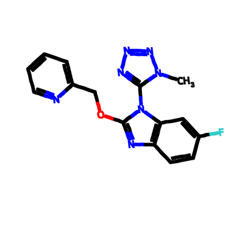 Cn1nnnc1-n1c(OCc2ccccn2)nc2ccc(F)cc21